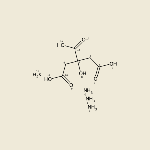 N.N.N.O=C(O)CC(O)(CC(=O)O)C(=O)O.S